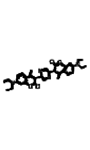 CCN(CC)c1ccc2c(C)c(-c3cnc(-c4c(C)c5ccc(N(CC)CC)cc5oc4=O)cn3)c(=O)oc2c1